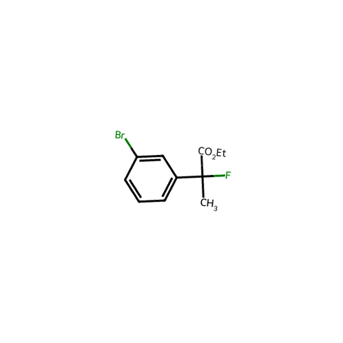 CCOC(=O)C(C)(F)c1cccc(Br)c1